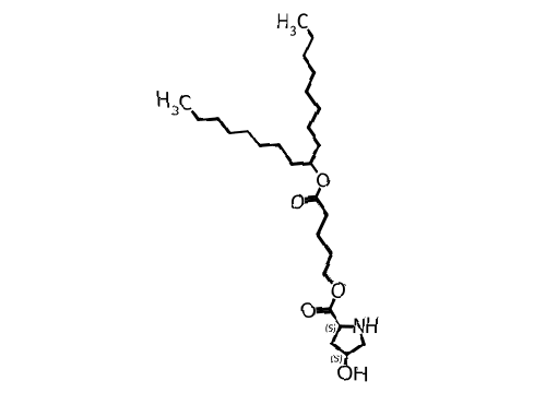 CCCCCCCCC(CCCCCCCC)OC(=O)CCCCOC(=O)[C@@H]1C[C@H](O)CN1